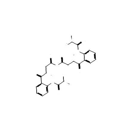 C[C@H](N)C(=O)Oc1ccccc1C(=O)[C@@H](N)CC(=O)OC(=O)C[C@H](N)C(=O)c1ccccc1OC(=O)[C@H](C)N